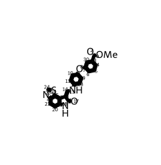 COC(=O)c1cccc(Oc2ccc(NC=C3C(=O)Nc4ccc5ncsc5c43)cc2)c1